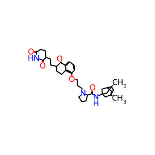 CC12CC3CC(NC(=O)C4CCCN4CCCOc4cccc5c4CCC(CCC4CCC(=O)NC4=O)C5=O)(C1)CC3(C)C2